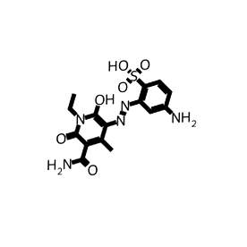 CCn1c(O)c(N=Nc2cc(N)ccc2S(=O)(=O)O)c(C)c(C(N)=O)c1=O